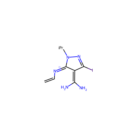 C=C/N=C1\C(=C(N)N)C(I)=NN1C(C)C